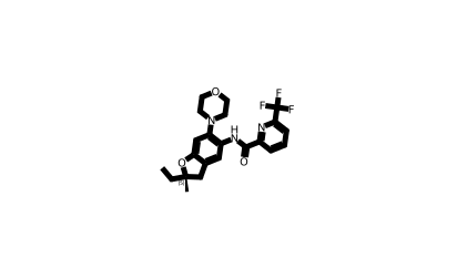 CC[C@@]1(C)Cc2cc(NC(=O)c3cccc(C(F)(F)F)n3)c(N3CCOCC3)cc2O1